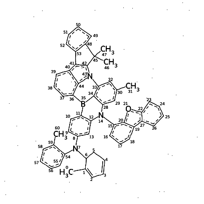 CC1=CC=CCC1N(c1ccc2c(c1)N(c1cccc3c1oc1ccccc13)c1cc(C)cc3c1B2c1cccc2c4c(n-3c12)C(C)(C)c1ccccc1-4)c1ccccc1C